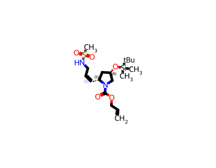 C=CCOC(=O)N1C[C@H](O[Si](C)(C)C(C)(C)C)C[C@H]1/C=C\CNS(C)(=O)=O